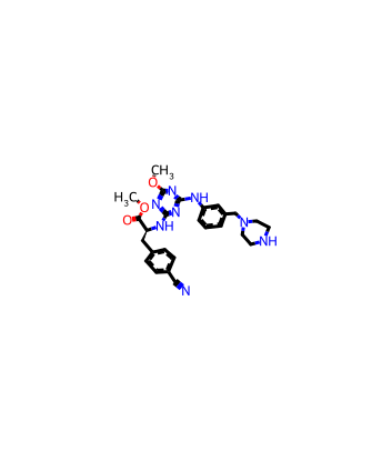 COC(=O)[C@H](Cc1ccc(C#N)cc1)Nc1nc(Nc2cccc(CN3CCNCC3)c2)nc(OC)n1